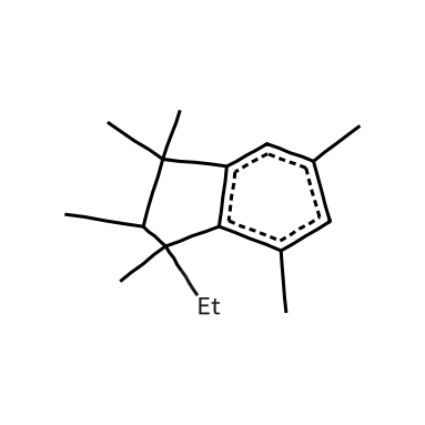 CCC1(C)c2c(C)cc(C)cc2C(C)(C)C1C